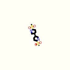 CS(=O)(=O)c1ccc(-c2ccc(S(C)(=O)=O)nc2)cn1